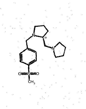 CS(=O)(=O)c1ccc(CN2CCC[C@H]2CN2CCCC2)cc1